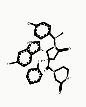 C[C@H](c1ccc(Cl)cc1)N1C(=O)C[C@@](Sc2ccccc2)(C(=O)N2CCNC(=O)C2)[C@@H]1c1c[nH]c2cc(Cl)ccc12